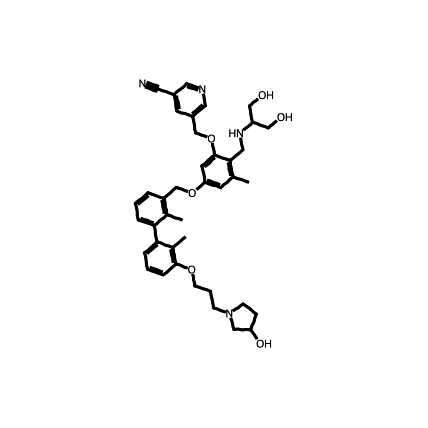 Cc1cc(OCc2cccc(-c3cccc(OCCCN4CCC(O)C4)c3C)c2C)cc(OCc2cncc(C#N)c2)c1CNC(CO)CO